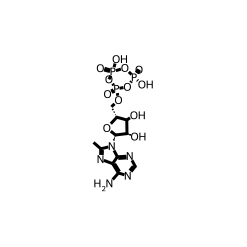 Cc1nc2c(N)ncnc2n1[C@@H]1O[C@H](COP2(=O)OP(=O)(O)OP(=O)(O)O2)C(O)[C@@H]1O